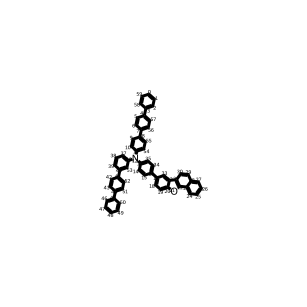 c1ccc(-c2ccc(-c3ccc(N(c4ccc(-c5ccc6oc7c8ccccc8ccc7c6c5)cc4)c4cccc(-c5ccc(-c6ccccc6)cc5)c4)cc3)cc2)cc1